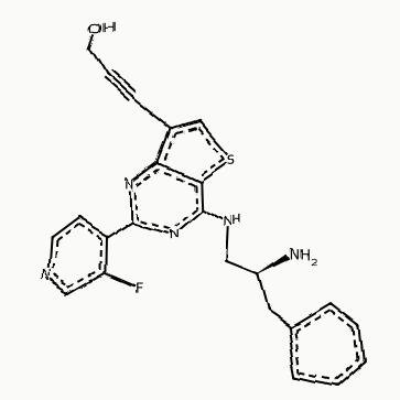 N[C@H](CNc1nc(-c2ccncc2F)nc2c(C#CCO)csc12)Cc1ccccc1